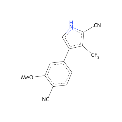 COc1cc(-c2c[nH]c(C#N)c2C(F)(F)F)ccc1C#N